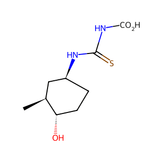 C[C@H]1C[C@@H](NC(=S)NC(=O)O)CC[C@@H]1O